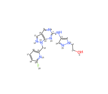 OCCn1cc(Nc2ncc3cnn(Cc4cccc(F)n4)c3n2)cn1